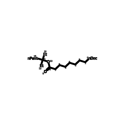 CCCCCCCCCCCCCCCCCC(=O)OC(CC)(CC)CCCCC